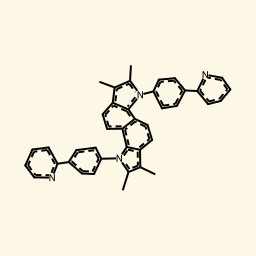 Cc1c(C)n(-c2ccc(-c3ccccn3)cc2)c2c1ccc1c2ccc2c(C)c(C)n(-c3ccc(-c4ccccn4)cc3)c21